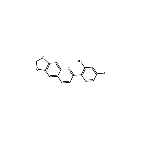 O=C(/C=C\c1ccc2c(c1)OCO2)c1ccc(F)cc1O